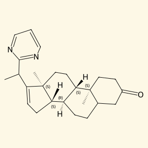 CC(C1=CC[C@H]2[C@@H]3CCC4CC(=O)CC[C@]4(C)[C@H]3CC[C@]12C)c1ncccn1